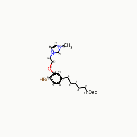 Br.CCCCCCCCCCCCCCCc1cccc(OCCN2C=CN(C)C2)c1